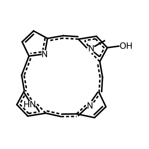 Cn1c2cc3nc(cc4ccc(cc5nc(cc1c(O)c2)C=C5)[nH]4)C=C3